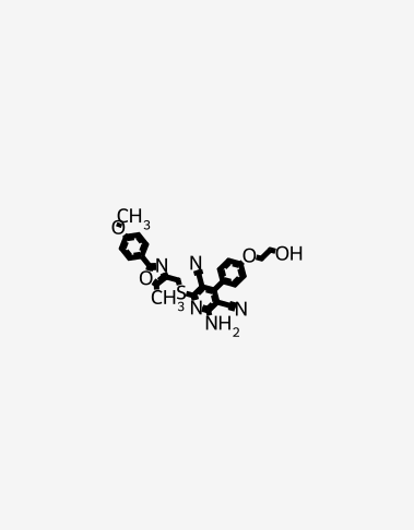 COc1ccc(-c2nc(CSc3nc(N)c(C#N)c(-c4ccc(OCCO)cc4)c3C#N)c(C)o2)cc1